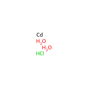 Cl.O.O.[Cd]